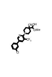 COC(O)C1(C#N)CCN(c2ncc(-c3cccc(Cl)c3)cc2C(F)(F)F)CC1